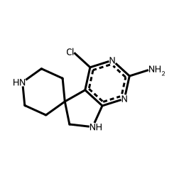 Nc1nc(Cl)c2c(n1)NCC21CCNCC1